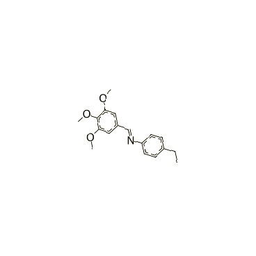 CCc1ccc(/N=C/c2cc(OC)c(OC)c(OC)c2)cc1